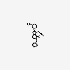 CC#CCn1c(N2CCCC(N)C2)nc2ccn(Cc3ccccn3)c(=O)c21